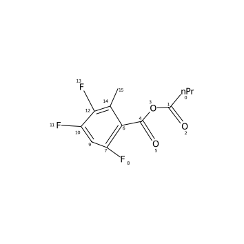 CCCC(=O)OC(=O)c1c(F)cc(F)c(F)c1C